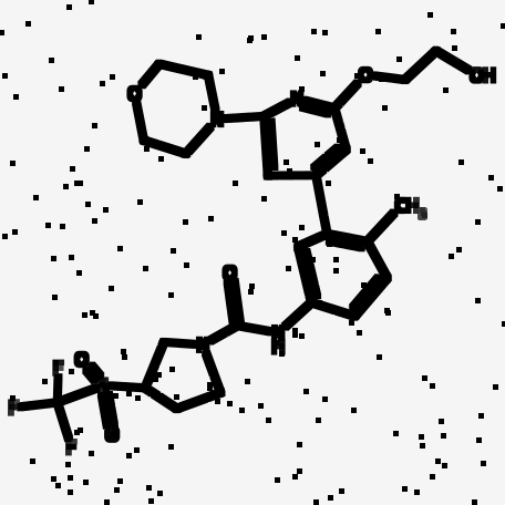 Cc1ccc(NC(=O)N2CCC(S(=O)(=O)C(F)(F)F)C2)cc1-c1cc(OCCO)nc(N2CCOCC2)c1